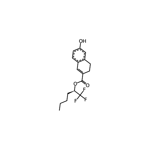 CCCC[C@@H](OC(=O)C1=Cc2ccc(O)cc2CC1)C(F)(F)F